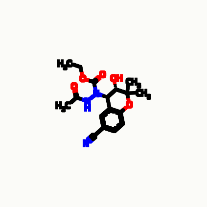 CCOC(=O)N(NC(C)=O)[C@@H]1c2cc(C#N)ccc2OC(C)(C)[C@H]1O